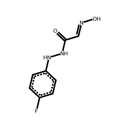 O=C(C=NO)NNc1ccc(F)cc1